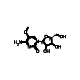 COc1cn([C@@H]2O[C@H](CO)C(O)C2O)c(=O)nc1N